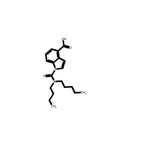 CCCCCN(CCCC)C(=O)n1ccc2c(C(=O)O)cccc21